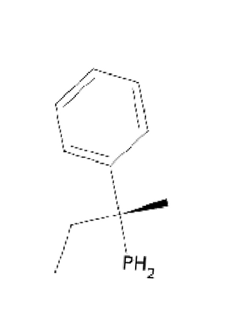 CC[C@@](C)(P)c1ccccc1